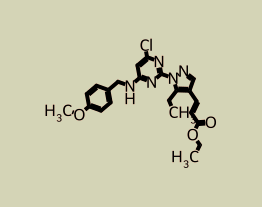 CCOC(=O)C=Cc1cnn(-c2nc(Cl)cc(NCc3ccc(OC)cc3)n2)c1CC